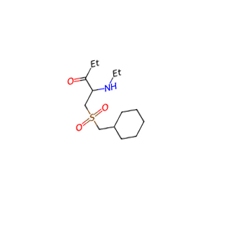 CCNC(CS(=O)(=O)CC1CCCCC1)C(=O)CC